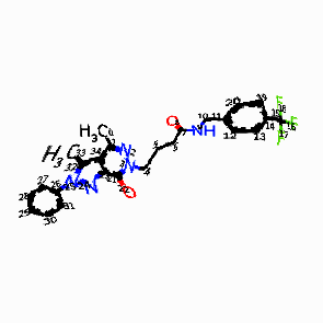 Cc1nn(CCCC(=O)NCc2ccc(C(F)(F)F)cc2)c(=O)c2nn(-c3ccccc3)c(C)c12